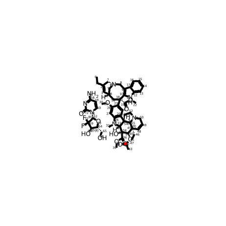 CCC1=C[C@@H]2C[N@](C1)Cc1c([nH]c3ccccc13)[C@@](C(=O)OC)(c1cc3c(cc1OC)N(C)[C@H]1[C@@](O)(C(=O)OC)[C@H](OC(C)=O)[C@]4(CC)C=CCN5CC[C@]31[C@@H]54)C2.Nc1ccn([C@@H]2O[C@H](CO)[C@@H](O)C2(F)F)c(=O)n1